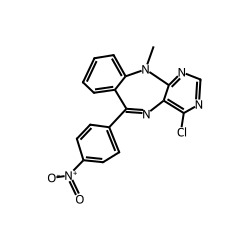 CN1c2ccccc2C(c2ccc([N+](=O)[O-])cc2)=Nc2c(Cl)ncnc21